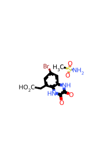 CS(N)(=O)=O.O=C(O)Cc1cc(Br)cc2[nH]c(=O)c(=O)[nH]c12